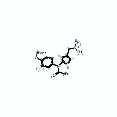 CCCCCOc1ccc(N(C(=O)C(C)C)c2nc(CN(C)C)cs2)cc1C(F)(F)F